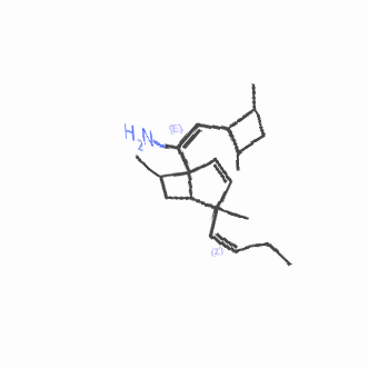 CC/C=C\C1(C)C=CC2(/C(N)=C\C3C(C)CC3C)C(C)CC12